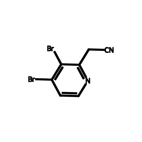 N#CCc1nccc(Br)c1Br